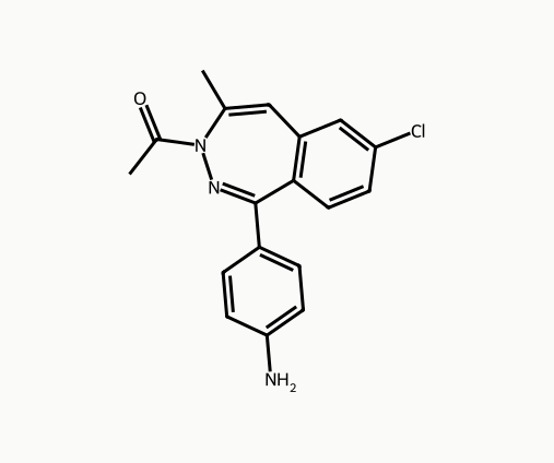 CC(=O)N1N=C(c2ccc(N)cc2)c2ccc(Cl)cc2C=C1C